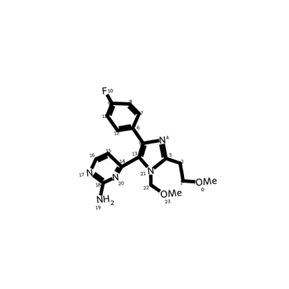 COCCc1nc(-c2ccc(F)cc2)c(-c2ccnc(N)n2)n1COC